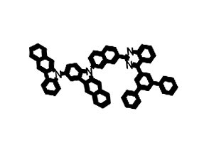 c1ccc(-c2cc(-c3ccccc3)cc(-c3nc(-c4ccc5ccc(-n6c7ccc(-n8c9ccccc9c9cc%10ccccc%10cc98)cc7c7cc8ccccc8cc76)cc5c4)nc4ccccc34)c2)cc1